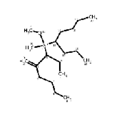 C=C(CCCC)C(CC)[N+](C)(OC)C(CCC)CCCC